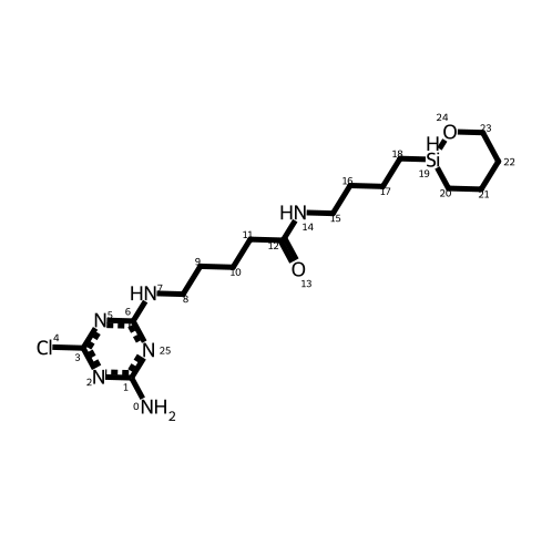 Nc1nc(Cl)nc(NCCCCC(=O)NCCCC[SiH]2CCCCO2)n1